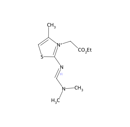 CCOC(=O)C[n+]1c(C)csc1/N=C/N(C)C